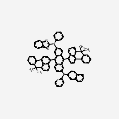 CC1(C)c2ccccc2-c2ccc(-c3c4ccc(N(c5ccccc5)c5nc6ccccc6s5)cc4c(-c4ccc5c6c(cccc46)C(C)(C)c4ccccc4-5)c4ccc(N(c5ccccc5)c5ccc6ccccc6c5)cc34)c3cccc1c23